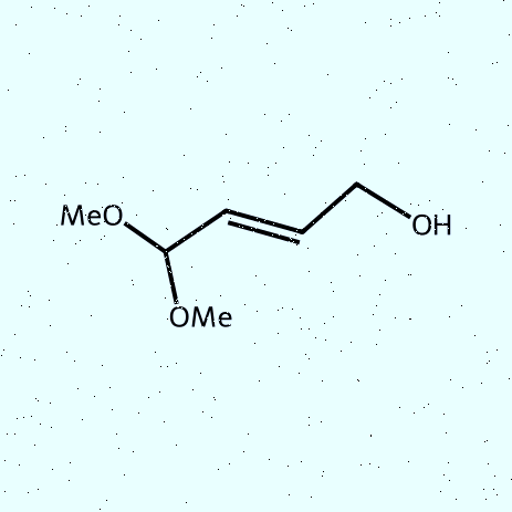 COC(C=CCO)OC